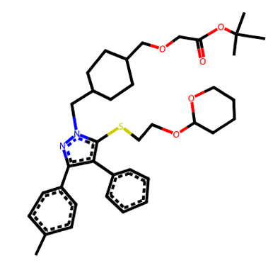 Cc1ccc(-c2nn(CC3CCC(COCC(=O)OC(C)(C)C)CC3)c(SCCOC3CCCCO3)c2-c2ccccc2)cc1